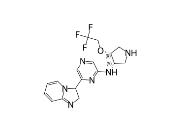 FC(F)(F)CO[C@@H]1CNC[C@@H]1Nc1cncc(C2CN=C3C=CC=CN32)n1